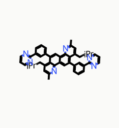 Cc1cc(CC(C)C)c2c(-c3cccc(-c4ncccn4)c3)cc3c(cc(-c4cccc(-c5ncccn5)c4)c4c(CC(C)C)cc(C)nc43)c2n1